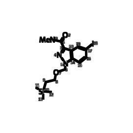 CNC(=O)c1nn(COCC[Si](C)(C)C)c2ccc(I)cc12